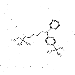 CCC(C)(N)CCCCCN(c1ccccc1)c1ccc(C(C)(C)N)cc1